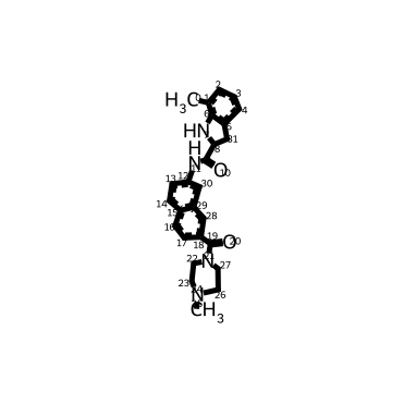 Cc1cccc2c1NC(C(=O)Nc1ccc3ccc(C(=O)N4CCN(C)CC4)cc3c1)C2